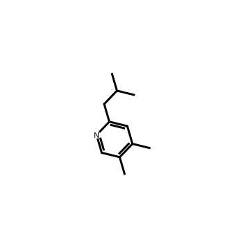 Cc1cnc(CC(C)C)cc1C